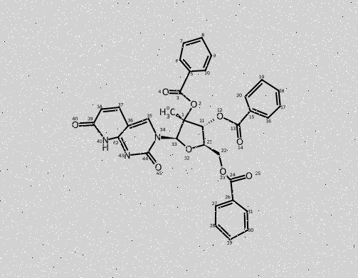 C[C@@]1(OC(=O)c2ccccc2)[C@H](OC(=O)c2ccccc2)[C@@H](COC(=O)c2ccccc2)O[C@H]1n1cc2ccc(=O)[nH]c2nc1=O